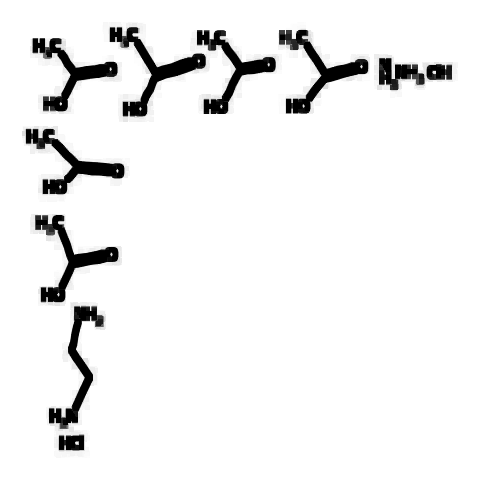 CC(=O)O.CC(=O)O.CC(=O)O.CC(=O)O.CC(=O)O.CC(=O)O.Cl.Cl.N.N.NCCN